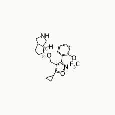 FC(F)(F)Oc1ccccc1-c1noc(C2CC2)c1CO[C@@H]1CCC2CNC[C@H]21